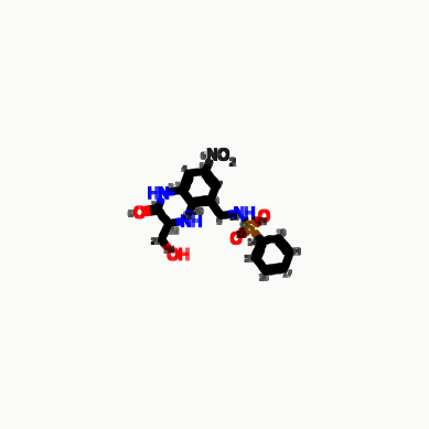 O=C1Nc2cc([N+](=O)[O-])cc(CNS(=O)(=O)c3ccccc3)c2NC1CO